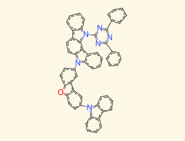 c1ccc(-c2nc(-c3ccccc3)nc(-n3c4ccccc4c4ccc5c(c6ccccc6n5-c5ccc6oc7ccc(-n8c9ccccc9c9ccccc98)cc7c6c5)c43)n2)cc1